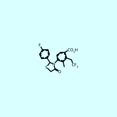 Cc1c(N2C(=O)CSC2c2ccc(F)cc2)ccc(C(=O)O)c1CC(F)(F)F